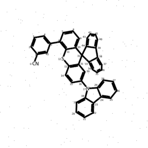 N#Cc1cccc(-c2cccc3c2Sc2ccc(-n4c5ccccc5c5ccccc54)cc2C32c3ccccc3-c3ccccc32)c1